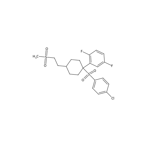 CS(=O)(=O)CCC1CCC(c2cc(F)ccc2F)(S(=O)(=O)c2ccc(Cl)cc2)CC1